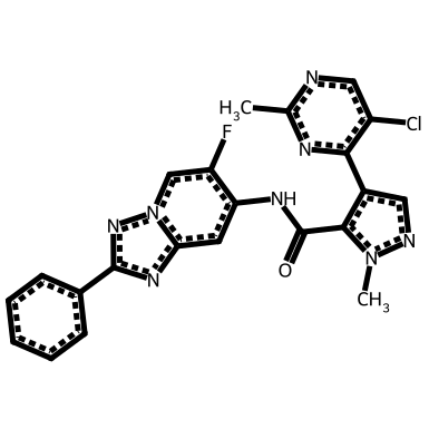 Cc1ncc(Cl)c(-c2cnn(C)c2C(=O)Nc2cc3nc(-c4ccccc4)nn3cc2F)n1